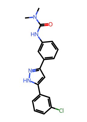 CN(C)C(=O)Nc1cccc(-c2cc(-c3cccc(Cl)c3)[nH]n2)c1